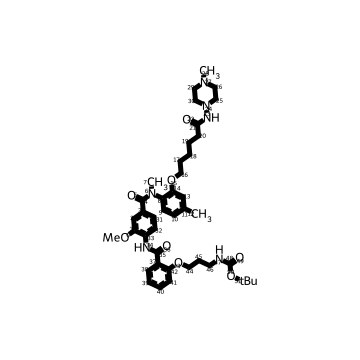 COc1cc(C(=O)N(C)c2ccc(C)cc2OCCCCCC(=O)NN2CCN(C)CC2)ccc1NC(=O)c1ccccc1OCCCNC(=O)OC(C)(C)C